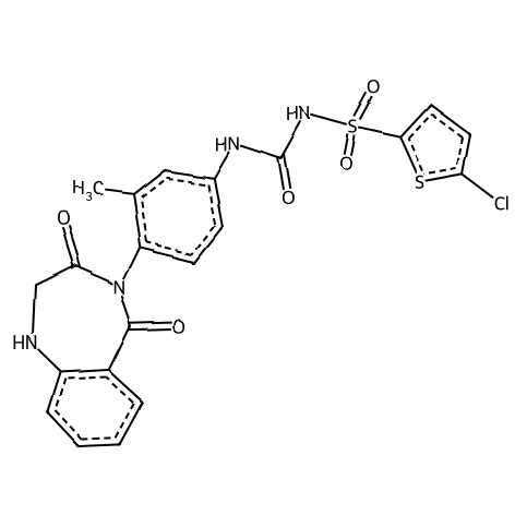 Cc1cc(NC(=O)NS(=O)(=O)c2ccc(Cl)s2)ccc1N1C(=O)CNc2ccccc2C1=O